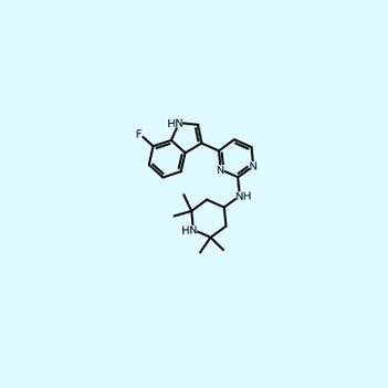 CC1(C)CC(Nc2nccc(-c3c[nH]c4c(F)cccc34)n2)CC(C)(C)N1